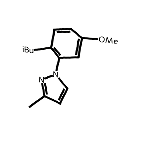 CCC(C)c1ccc(OC)cc1-n1ccc(C)n1